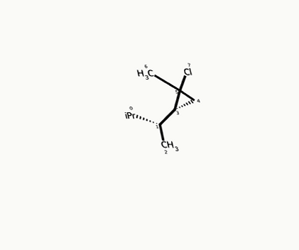 CC(C)[C@@H](C)[C@H]1CC1(C)Cl